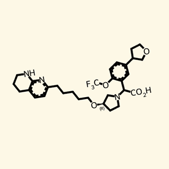 O=C(O)C(c1cc(C2CCOC2)ccc1OC(F)(F)F)N1CC[C@@H](OCCCCCc2ccc3c(n2)NCCC3)C1